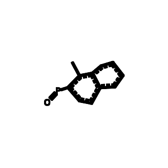 Cc1c(P=O)ccc2ccccc12